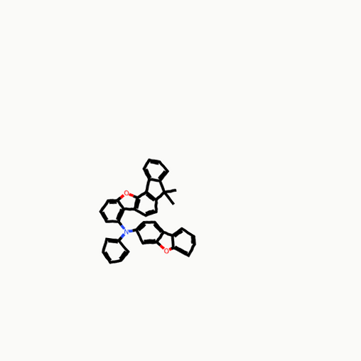 CC1(C)c2ccccc2-c2c1ccc1c2oc2cccc(N(c3ccccc3)c3ccc4c(c3)oc3ccccc34)c21